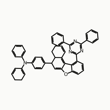 C1=CC(N(c2ccccc2)c2ccc(C3C=c4oc5cccc(-c6nc(-c7ccccc7)nc(-c7ccccc7)n6)c5c4=C4C=CCCC43)cc2)=CCC1